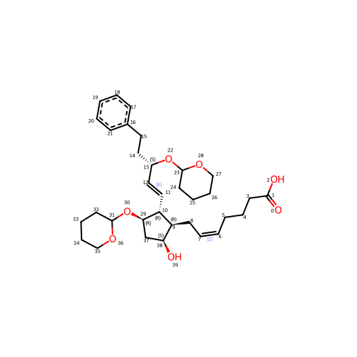 O=C(O)CCC/C=C\C[C@@H]1[C@@H](/C=C/[C@H](CCc2ccccc2)OC2CCCCO2)[C@H](OC2CCCCO2)C[C@@H]1O